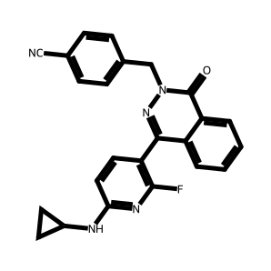 N#Cc1ccc(Cn2nc(-c3ccc(NC4CC4)nc3F)c3ccccc3c2=O)cc1